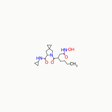 CCCCC(CC(=O)NO)C(=O)N1CC2(CC2)CC1C(=O)NC1CC1